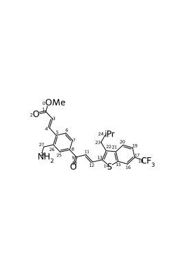 COC(=O)C=Cc1ccc(C(=O)C=Cc2sc3cc(C(F)(F)F)ccc3c2CC(C)C)cc1CN